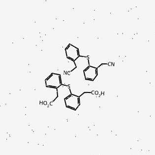 N#CCc1ccccc1Sc1ccccc1CC#N.O=C(O)Cc1ccccc1Sc1ccccc1CC(=O)O